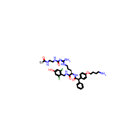 CCC(=O)NCCNC(=O)/N=C(/N)NCCC[C@@H](NC(=O)C(c1ccccc1)c1ccc(OCCCCN)cc1)C(=O)NCc1c(F)cc(O)cc1F